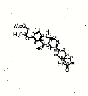 COC[C@H](C)Oc1ccc(C)c(C(=N)c2cc(N3CCC4(CCC(=O)N4)CC3)ncn2)c1